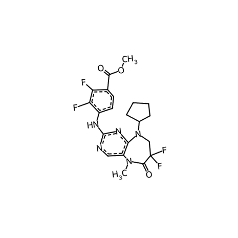 COC(=O)c1ccc(Nc2ncc3c(n2)N(C2CCCC2)CC(F)(F)C(=O)N3C)c(F)c1F